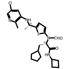 Cc1ncc(Cl)cc1N[C@@H](C)c1ccc(N(C=O)[C@@H](CC2CCCC2)C(=O)NC2CCC2)s1